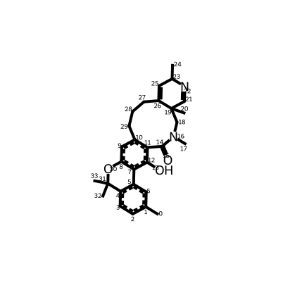 Cc1ccc2c(c1)-c1c(cc3c(c1O)C(=O)N(C)CC1(C)C=NC(C)C=C1CCC3)OC2(C)C